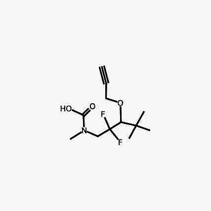 C#CCOC(C(C)(C)C)C(F)(F)CN(C)C(=O)O